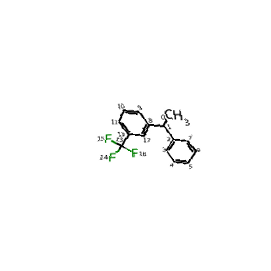 CC(c1ccccc1)c1cccc(C(F)(F)F)c1